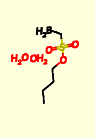 BCS(=O)(=O)OCCCC.O.O